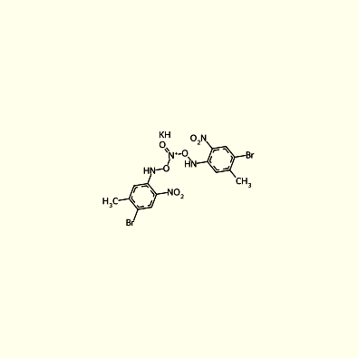 Cc1cc(NO[N+](=O)ONc2cc(C)c(Br)cc2[N+](=O)[O-])c([N+](=O)[O-])cc1Br.[KH]